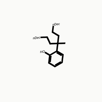 CCCCCCCCCCCCC(C)(CCCCCCCCCCCC)c1ccccc1O